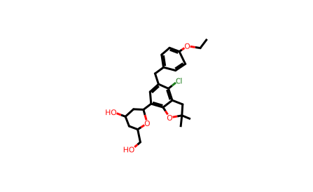 CCOc1ccc(Cc2cc(C3CC(O)CC(CO)O3)c3c(c2Cl)CC(C)(C)O3)cc1